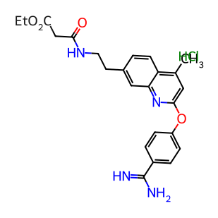 CCOC(=O)CC(=O)NCCc1ccc2c(C)cc(Oc3ccc(C(=N)N)cc3)nc2c1.Cl